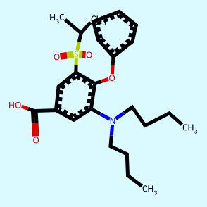 CCCCN(CCCC)c1cc(C(=O)O)cc(S(=O)(=O)C(C)C)c1Oc1ccccc1